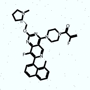 C=C(F)C(=O)N1CCN(c2nc(OC[C@@H]3CCCN3C)nc3c(F)c(-c4cccc5cccc(C)c45)ncc23)CC1